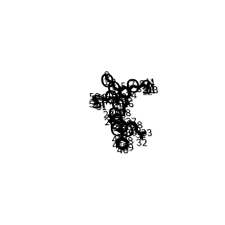 COCOc1cc(OCC[Si](C)(C)C)cc(/C=C/C[C@@H]2OC(C)(C)OC2C(/C=C\[C@@H](C)C(C)C)OC(=O)c2ccccc2)c1C(=O)OCC[Si](C)(C)C